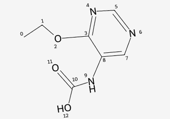 CCOc1ncncc1NC(=O)O